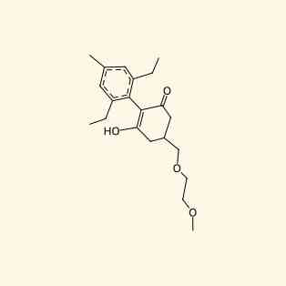 CCc1cc(C)cc(CC)c1C1=C(O)CC(COCCOC)CC1=O